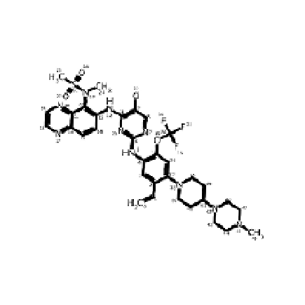 C=Cc1cc(Nc2ncc(Cl)c(Nc3ccc4nccnc4c3N(C)S(C)(=O)=O)n2)c(OC(F)(F)F)cc1N1CCC(N2CCN(C)CC2)CC1